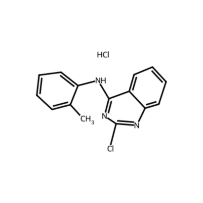 Cc1ccccc1Nc1nc(Cl)nc2ccccc12.Cl